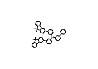 CC1(C)c2ccccc2-c2cc(-c3cccc(N(c4cccc(-c5ccccc5)c4)c4cccc(-c5ccc6c(c5)-c5ccccc5C6(C)C)c4)c3)ccc21